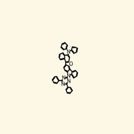 c1ccc(-c2nc(-c3ccccc3)nc(-n3c4ccccc4c4c5oc6cc(N(c7ccccc7)c7ccccc7)c7ccccc7c6c5ccc43)n2)cc1